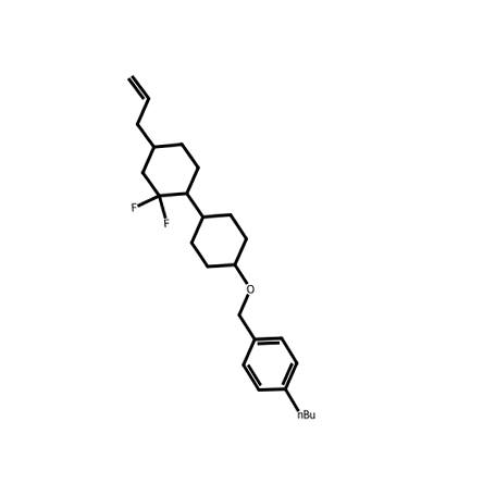 C=CCC1CCC(C2CCC(OCc3ccc(CCCC)cc3)CC2)C(F)(F)C1